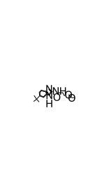 COOCCC(=O)Nc1nc2ccc(C(C)(C)C)cc2[nH]1